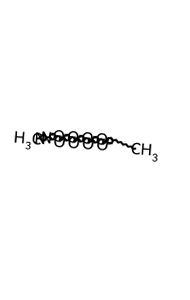 CCCCCCCCCc1ccc(C(=O)Oc2ccc(C(=O)Oc3ccc(C(=O)Oc4ccc(C(=O)Oc5ccc(N6CCN(C)CC6)cc5)cc4)cc3)cc2)cc1